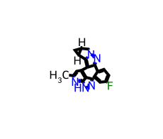 Cc1cc(-c2c(-c3ccc(F)cc3)nn3c2[C@@H]2C[C@@H]2C3)c2cn[nH]c2n1